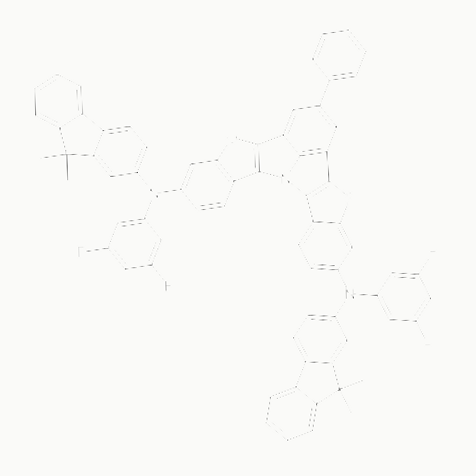 CC1(C)c2ccccc2-c2ccc(N(c3cc(F)cc(F)c3)c3ccc4c(c3)oc3c5cc(-c6ccccc6)cc6c7sc8cc(N(c9cc(F)cc(F)c9)c9ccc%10c(c9)C(C)(C)c9ccccc9-%10)ccc8c7n(c56)c43)cc21